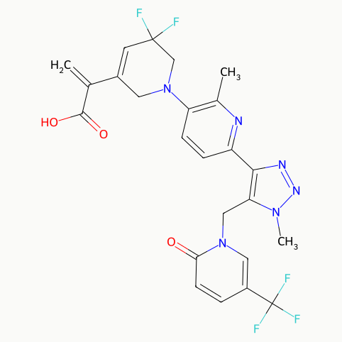 C=C(C(=O)O)C1=CC(F)(F)CN(c2ccc(-c3nnn(C)c3Cn3cc(C(F)(F)F)ccc3=O)nc2C)C1